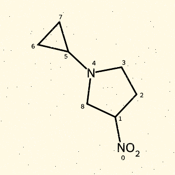 O=[N+]([O-])C1CCN(C2CC2)C1